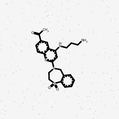 CC(=O)c1ccc2nc(N3CCS(=O)(=O)c4ccccc4C3)cc(NCCCN)c2c1